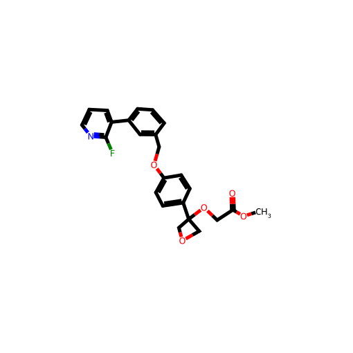 COC(=O)COC1(c2ccc(OCc3cccc(-c4cccnc4F)c3)cc2)COC1